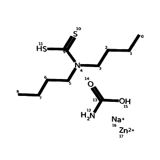 CCCCN(CCCC)C(=S)S.NC(=O)O.[Na+].[Zn+2]